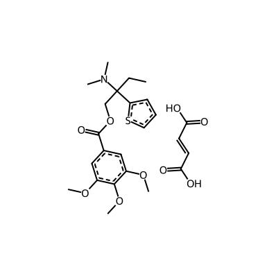 CCC(COC(=O)c1cc(OC)c(OC)c(OC)c1)(c1cccs1)N(C)C.O=C(O)C=CC(=O)O